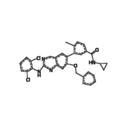 Cc1ccc(C(=O)NC2CC2)cc1-c1cc2cnc(Nc3c(Cl)cccc3Cl)nc2cc1OCc1ccccc1